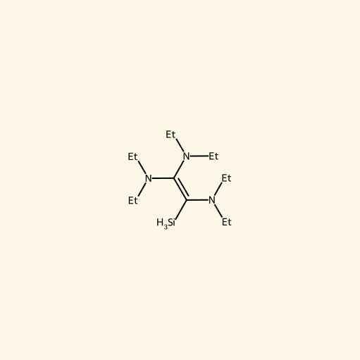 CCN(CC)C([SiH3])=C(N(CC)CC)N(CC)CC